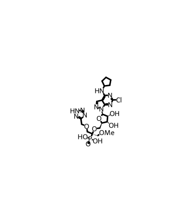 COC[C@](COCc1nn[nH]n1)(OC[C@H]1O[C@@H](n2ncc3c(NC4CCCC4)nc(Cl)nc32)[C@H](O)[C@@H]1O)P(=O)(O)O